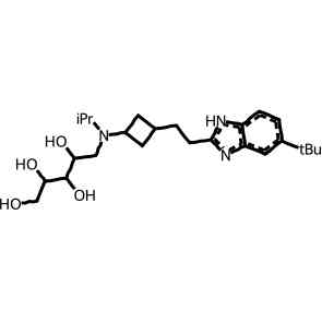 CC(C)N(CC(O)C(O)C(O)CO)C1CC(CCc2nc3cc(C(C)(C)C)ccc3[nH]2)C1